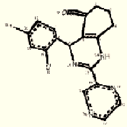 O=C1CCCC2=C1C(c1ccc(F)cc1Cl)N=C(c1cnccn1)N2